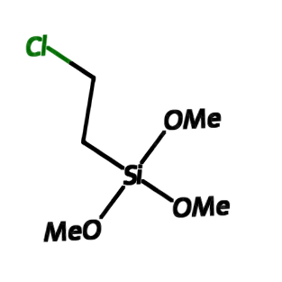 CO[Si](CCCl)(OC)OC